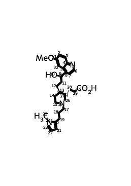 COc1ccc2nccc([C@H](O)CC[C@@H]3CCN(CCCc4cccn4C)C[C@H]3CCC(=O)O)c2c1